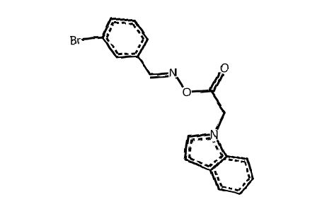 O=C(Cn1ccc2ccccc21)ON=Cc1cccc(Br)c1